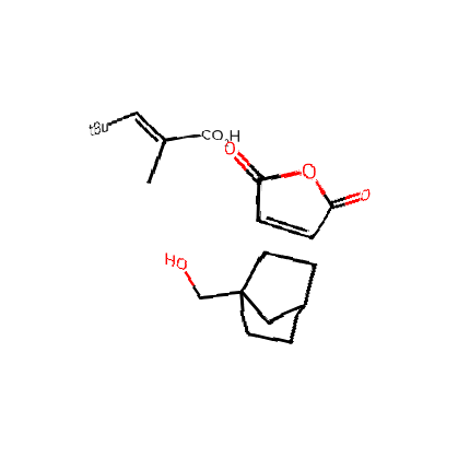 CC(=CC(C)(C)C)C(=O)O.O=C1C=CC(=O)O1.OCC12CCC(CC1)C2